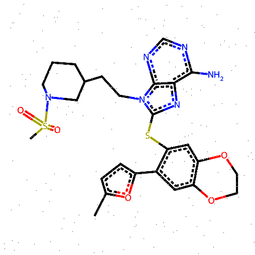 Cc1ccc(-c2cc3c(cc2Sc2nc4c(N)ncnc4n2CCC2CCCN(S(C)(=O)=O)C2)OCCO3)o1